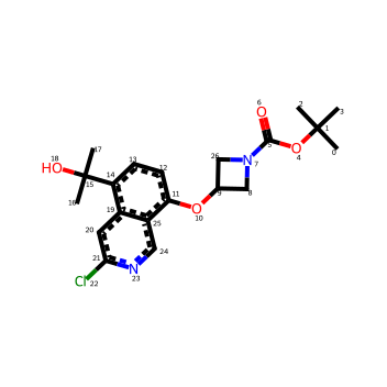 CC(C)(C)OC(=O)N1CC(Oc2ccc(C(C)(C)O)c3cc(Cl)ncc23)C1